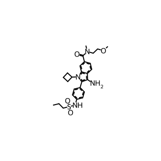 CCCS(=O)(=O)Nc1ccc(-c2c(N)c3ccc(C(=O)N(C)CCOC)cc3n2C2CCC2)cc1